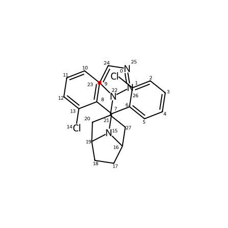 Clc1ccccc1C(c1ccccc1Cl)N1C2CCC1CC(n1ccnn1)C2